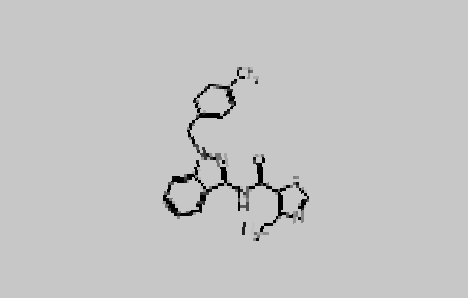 Cc1ncsc1C(=O)Nc1nn(CC2=CC=C(C(F)(F)F)CC2)c2ccccc12